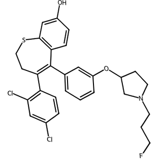 Oc1ccc2c(c1)SCCC(c1ccc(Cl)cc1Cl)=C2c1cccc(OC2CCN(CCCF)C2)c1